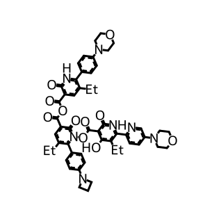 CCc1cc(C(=O)OC(=O)c2cc(CC)c(-c3ccc(N4CCC4)cc3)n(OC(=O)c3c(O)c(CC)c(-c4ccc(N5CCOCC5)cn4)[nH]c3=O)c2=O)c(=O)[nH]c1-c1ccc(N2CCOCC2)cc1